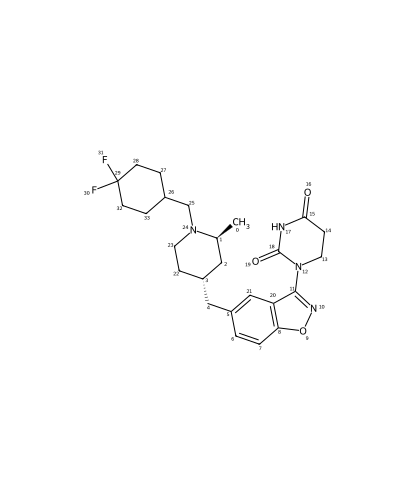 C[C@H]1C[C@H](Cc2ccc3onc(N4CCC(=O)NC4=O)c3c2)CCN1CC1CCC(F)(F)CC1